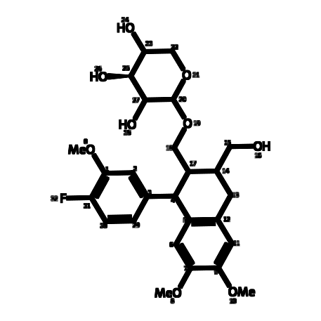 COc1cc(C2c3cc(OC)c(OC)cc3CC(CO)C2COC2OCC(O)[C@H](O)C2O)ccc1F